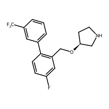 Fc1ccc(-c2cccc(C(F)(F)F)c2)c(CO[C@H]2CCNC2)c1